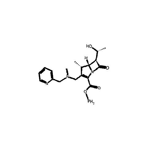 C[C@@H](O)[C@H]1C(=O)N2C(C(=O)OP)=C(CN(C)Cc3ccccn3)[C@H](C)[C@H]12